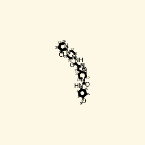 COc1ccc(NC(=O)N2CCC3(CC2)CC(C(=O)NN2CCN(c4ncccc4Cl)CC2)=NO3)cc1